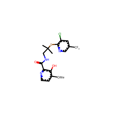 COc1ccnc(C(=O)NCC(C)(C)Sc2ncc(C(F)(F)F)cc2Cl)c1O